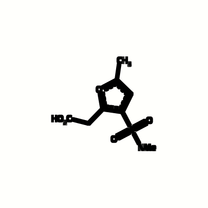 CNS(=O)(=O)c1cc(C)oc1CC(=O)O